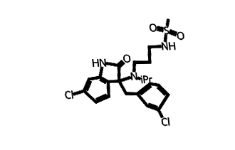 CC(C)N(CCCNS(C)(=O)=O)C1(Cc2cccc(Cl)c2)C(=O)Nc2cc(Cl)ccc21